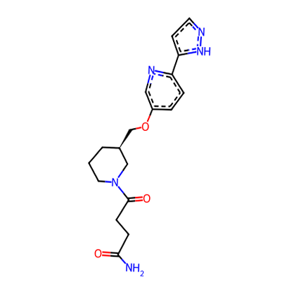 NC(=O)CCC(=O)N1CCC[C@@H](COc2ccc(-c3ccn[nH]3)nc2)C1